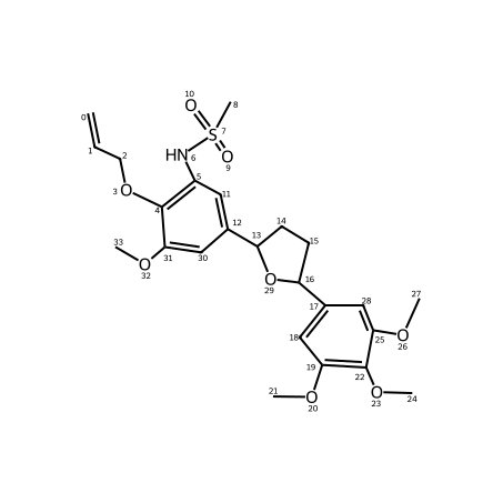 C=CCOc1c(NS(C)(=O)=O)cc(C2CCC(c3cc(OC)c(OC)c(OC)c3)O2)cc1OC